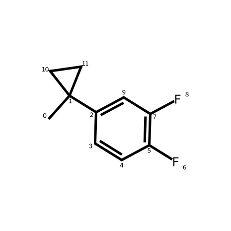 CC1(c2ccc(F)c(F)c2)CC1